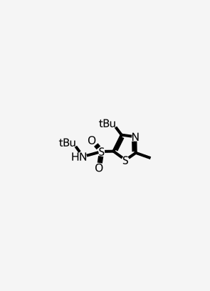 Cc1nc(C(C)(C)C)c(S(=O)(=O)NC(C)(C)C)s1